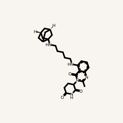 Cc1nc2cccc(NCCCCCNC34C[C@@H]5CC3C[C@@H](C5)C4)c2c(=O)n1C1CCC(=O)NC1=O